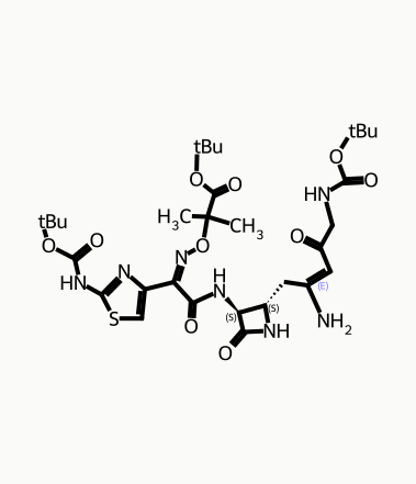 CC(C)(C)OC(=O)NCC(=O)/C=C(/N)C[C@@H]1NC(=O)[C@H]1NC(=O)C(=NOC(C)(C)C(=O)OC(C)(C)C)c1csc(NC(=O)OC(C)(C)C)n1